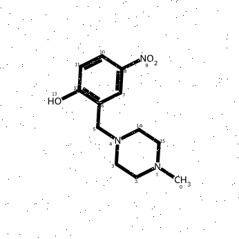 CN1CCN(Cc2cc([N+](=O)[O-])ccc2O)CC1